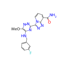 COc1nnc(-c2nnc3c(C(N)=O)cccn23)nc1NCc1cccc(F)c1